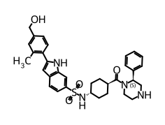 Cc1cc(CO)ccc1-c1cc2ccc(S(=O)(=O)N[C@H]3CC[C@H](C(=O)N4CCNC[C@@H]4c4ccccc4)CC3)cc2[nH]1